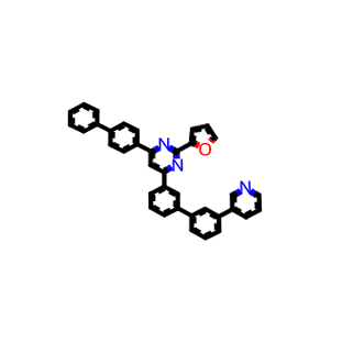 c1ccc(-c2ccc(-c3cc(-c4cccc(-c5cccc(-c6cccnc6)c5)c4)nc(-c4ccco4)n3)cc2)cc1